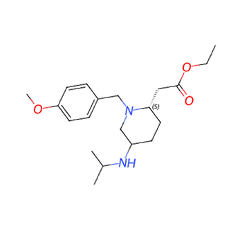 CCOC(=O)C[C@@H]1CCC(NC(C)C)CN1Cc1ccc(OC)cc1